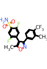 Cc1cc(-c2noc(C)c2-c2cc(F)c(S(N)(=O)=O)cc2F)ccc1C(F)(F)F